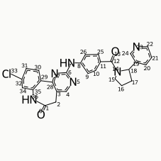 O=C1Cc2cnc(Nc3ccc(C(=O)N4CCCC4c4cccnc4)cc3)nc2-c2ccc(Cl)cc2N1